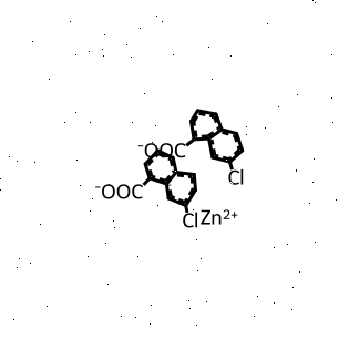 O=C([O-])c1cccc2ccc(Cl)cc12.O=C([O-])c1cccc2ccc(Cl)cc12.[Zn+2]